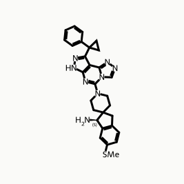 CSc1ccc2c(c1)[C@@H](N)C1(CCN(c3nc4[nH]nc(C5(c6ccccc6)CC5)c4c4nncn34)CC1)C2